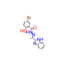 C/C(=N\NC(=O)c1cc(Br)ccc1O)c1nc2ccccc2[nH]1